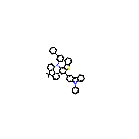 CC1(C)c2ccccc2-c2c(N(c3cccc(-c4ccccc4)c3)c3ccc(-c4ccc5c(c4)c4ccccc4n5-c4ccccc4)c4sc5ccccc5c34)cccc21